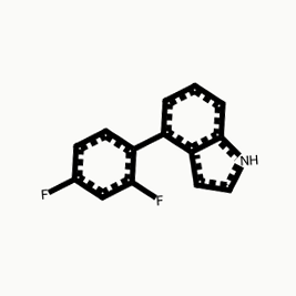 Fc1ccc(-c2cccc3[nH]ccc23)c(F)c1